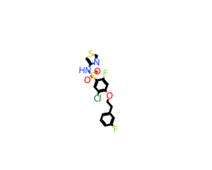 O=S(=O)(Nc1cscn1)c1cc(Cl)c(OCCc2cccc(F)c2)cc1F